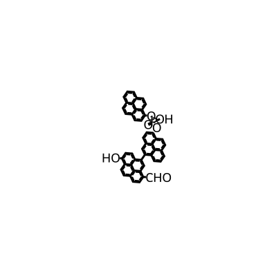 O=Cc1ccc2ccc3c(O)ccc4c(-c5cc6ccc(OP(=O)(O)Oc7ccc8ccc9cccc%10ccc7c8c9%10)c7ccc8cccc5c8c67)cc1c2c34